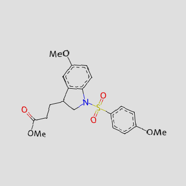 COC(=O)CCC1CN(S(=O)(=O)c2ccc(OC)cc2)c2ccc(OC)cc21